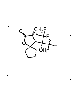 C=C1C(=O)OC2(CCCC2)C1C(O)(C(F)(F)F)C(F)(F)F